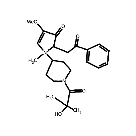 COC1=C[N+](C)(C2CCN(C(=O)C(C)(C)O)CC2)C(CC(=O)c2ccccc2)C1=O